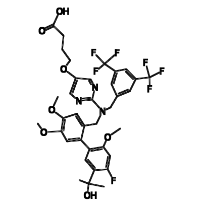 COc1cc(CN(Cc2cc(C(F)(F)F)cc(C(F)(F)F)c2)c2ncc(OCCCC(=O)O)cn2)c(-c2cc(C(C)(C)O)c(F)cc2OC)cc1OC